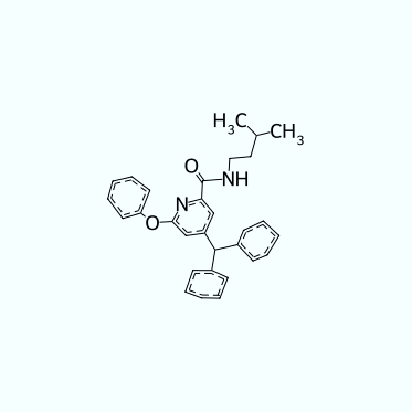 CC(C)CCNC(=O)c1cc(C(c2ccccc2)c2ccccc2)cc(Oc2ccccc2)n1